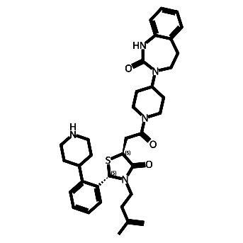 C=C(C)CCN1C(=O)[C@H](CC(=O)N2CCC(N3CCc4ccccc4NC3=O)CC2)S[C@H]1c1ccccc1C1CCNCC1